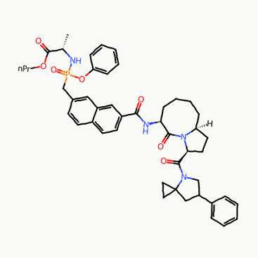 CCCOC(=O)[C@H](C)NP(=O)(Cc1ccc2ccc(C(=O)N[C@H]3CCCC[C@H]4CC[C@@H](C(=O)N5CC(c6ccccc6)CC56CC6)N4C3=O)cc2c1)Oc1ccccc1